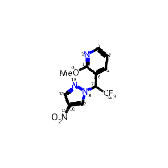 COc1ncccc1C(n1cc([N+](=O)[O-])cn1)C(F)(F)F